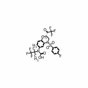 CC(C)(N(C(=O)O)c1ccc2c(c1)N(S(=O)(=O)c1ccc(F)cc1)C[C@@H](C(=O)C(F)(F)F)O2)C(F)(F)F